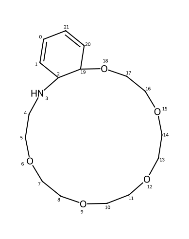 C1=CC2NCCOCCOCCOCCOCCOC2C=C1